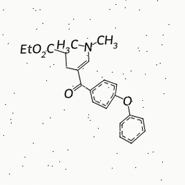 CCOC(=O)CCC(=CN(C)C)C(=O)c1ccc(Oc2ccccc2)cc1